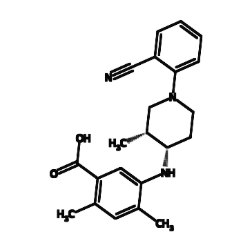 Cc1cc(C)c(C(=O)O)cc1N[C@H]1CCN(c2ccccc2C#N)C[C@H]1C